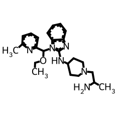 CCOC(c1cccc(C)n1)n1c(NC2CCN(CC(C)N)CC2)nc2ccccc21